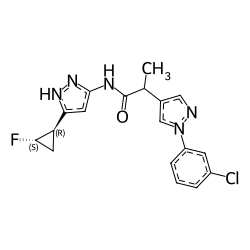 CC(C(=O)Nc1cc([C@H]2C[C@@H]2F)[nH]n1)c1cnn(-c2cccc(Cl)c2)c1